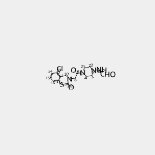 O=CNN1CCN(C(=O)CN2Cc3c(Cl)cccc3SC2=O)CC1